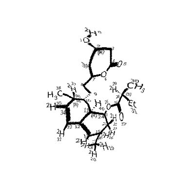 [2H]O[C@H]1CC(=O)OC(CC[C@@H]2[C@@H]3C(=C([2H])[C@]([2H])(C([2H])([2H])[2H])C([2H])([2H])[C@@H]3OC(=O)[C@@]([2H])(C)CC)C([2H])=C([2H])[C@]2([2H])C)C1